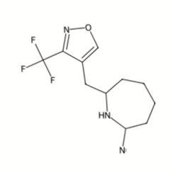 [N]C1CCCCC(Cc2conc2C(F)(F)F)N1